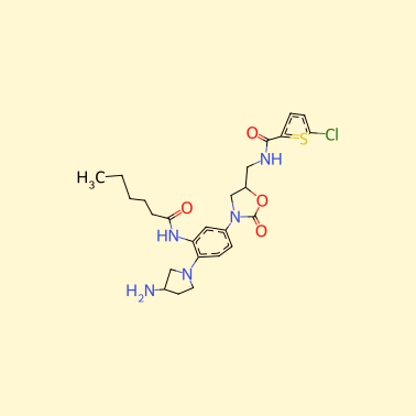 CCCCCC(=O)Nc1cc(N2CC(CNC(=O)c3ccc(Cl)s3)OC2=O)ccc1N1CCC(N)C1